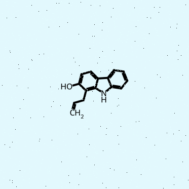 C=CCc1c(O)ccc2c1[nH]c1ccccc12